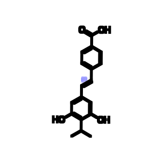 CC(C)c1c(O)cc(/C=C/c2ccc(C(=O)O)cc2)cc1O